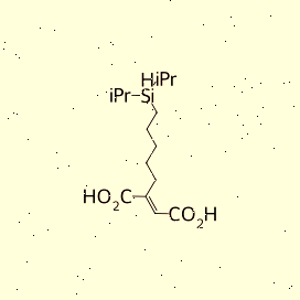 CC(C)[SiH](CCCCC/C(=C\C(=O)O)C(=O)O)C(C)C